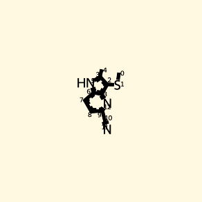 CSc1c(C)[nH]c2ccc(C#N)nc12